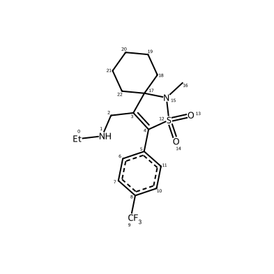 CCNCC1=C(c2ccc(C(F)(F)F)cc2)S(=O)(=O)N(C)C12CCCCC2